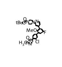 COc1c(-c2ccnc(N3CCN(C(=O)OC(C)(C)C)CC3)c2)cc(F)cc1-c1ccc(-n2cnn(C)c2=O)c(Cl)c1